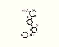 CC(C(=O)O)N1Cc2ncc(-c3nc(NC4CCOCC4)ncc3Cl)cc2C1=O